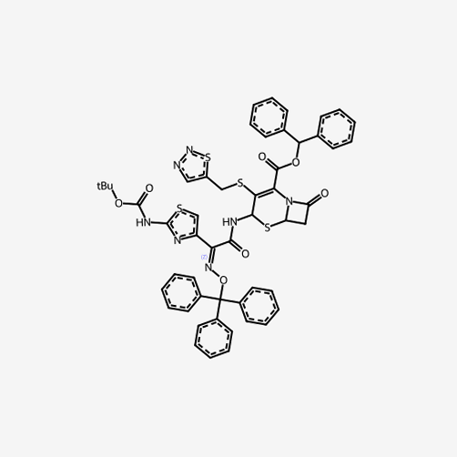 CC(C)(C)OC(=O)Nc1nc(/C(=N/OC(c2ccccc2)(c2ccccc2)c2ccccc2)C(=O)NC2SC3CC(=O)N3C(C(=O)OC(c3ccccc3)c3ccccc3)=C2SCc2cnns2)cs1